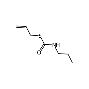 C=CCSC(=O)NCCC